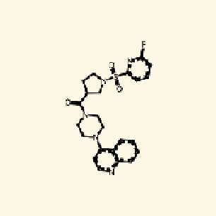 O=C(C1CCN(S(=O)(=O)c2cccc(F)n2)C1)N1CCN(c2ccnc3ccccc23)CC1